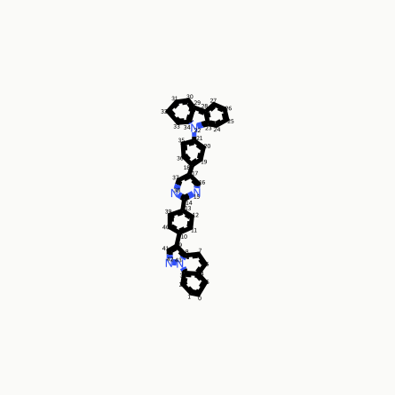 c1ccc2c(c1)ccc1c(-c3ccc(-c4ncc(-c5ccc(-n6c7ccccc7c7ccccc76)cc5)cn4)cc3)cnn12